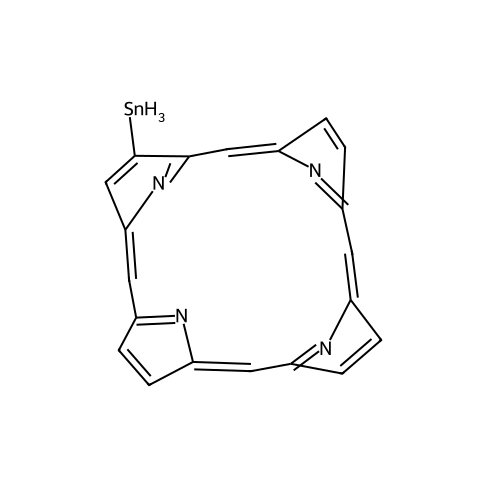 [SnH3][C]1=CC2=CC3=NC(=CC4=NC(=CC5=NC(=CC1=N2)C=C5)C=C4)C=C3